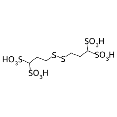 O=S(=O)(O)C(CCSSCCC(S(=O)(=O)O)S(=O)(=O)O)S(=O)(=O)O